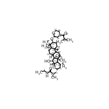 CCNC(=O)N(C)C[C@H]1C[C@@H](C)C2[C@H](O1)[C@H](O)[C@@]1(C)[C@@H]3CC[C@H]4C(C)(C)[C@@H](O[C@H]5CN(C(=O)C(C)C)CCO5)CCC45C[C@@]35CC[C@]21C